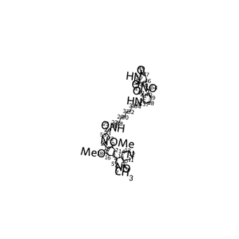 COc1cc(-c2cn(C)c(=O)c3cnccc23)cc(OC)c1CN1CC(C(=O)NCCCCCCCCNc2cccc3c2C(=O)N(C2CCC(=O)NC2=O)C3=O)C1